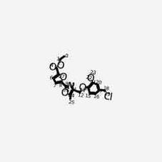 CCOC(=O)c1ccc(-c2nc(COc3ccc(CCl)cc3OC)c(C)o2)o1